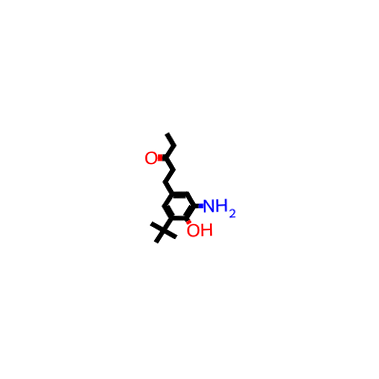 CCC(=O)CCc1cc(N)c(O)c(C(C)(C)C)c1